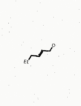 [CH2]CCC=CC[O]